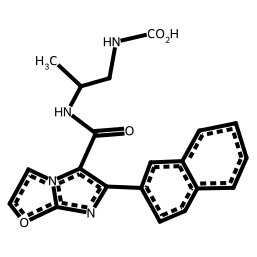 CC(CNC(=O)O)NC(=O)c1c(-c2ccc3ccccc3c2)nc2occn12